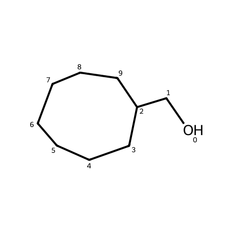 OCC1CCCCCCC1